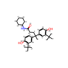 CC(C)(C)c1cc(C(C)(CCC(=O)NC2CCCCC2)c2ccc(O)c(C(C)(C)C)c2)ccc1O